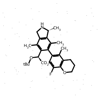 Cc1c(-c2c(C)c3c(c(C)c2[C@H](OC(C)(C)C)C(=O)O)CN[C@@H]3C)cc(F)c2c1CCCO2